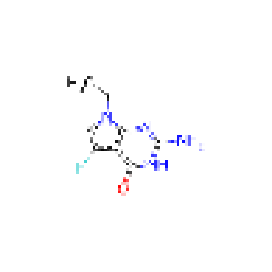 CCn1cc(F)c2c(=O)[nH]c(N)nc21